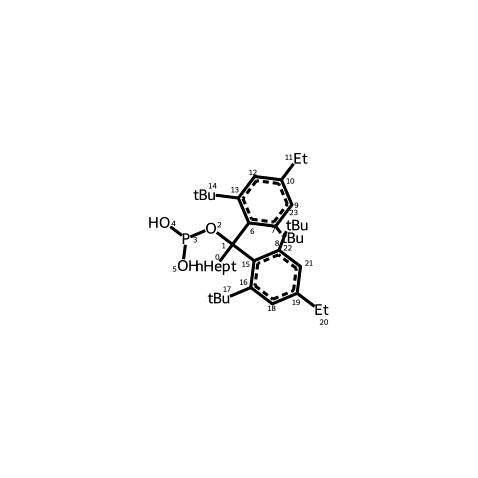 CCCCCCCC(OP(O)O)(c1c(C(C)(C)C)cc(CC)cc1C(C)(C)C)c1c(C(C)(C)C)cc(CC)cc1C(C)(C)C